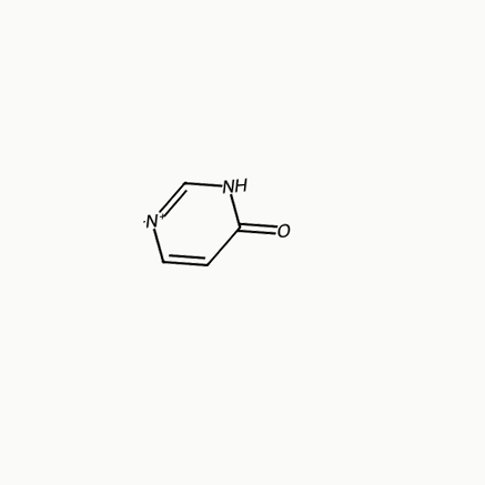 O=C1C=C[N+]=CN1